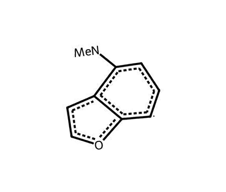 CNc1cc[c]c2occc12